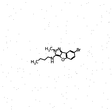 CCCCNc1c2oc3ccc(Br)cc3c2nn1C